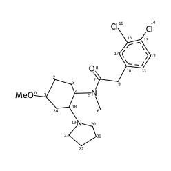 COC1CCC(N(C)C(=O)Cc2ccc(Cl)c(Cl)c2)C(N2CCCC2)C1